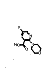 O=C(O)c1cc(F)cnc1N1CCOCC1